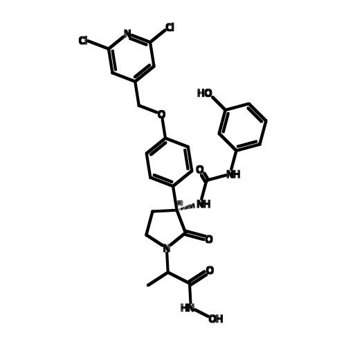 CC(C(=O)NO)N1CC[C@@](NC(=O)Nc2cccc(O)c2)(c2ccc(OCc3cc(Cl)nc(Cl)c3)cc2)C1=O